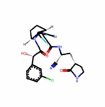 N#C[C@@H](C[C@@H]1CCNC1=O)NC(=O)[C@H]1[C@@H]2CC[C@@H](CC2(F)F)N1C(=O)[C@@H](O)c1cccc(Cl)c1